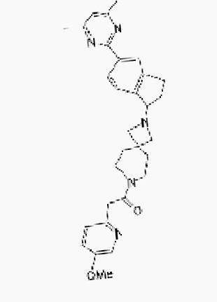 COc1ccc(CC(=O)N2CCC3(CC2)CN(C2CCc4cc(-c5nc(C)cc(C)n5)ccc42)C3)nc1